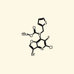 CC(C)(C)OC(=O)N(Cc1cccs1)c1c(F)c(Cl)nc2c(Br)coc12